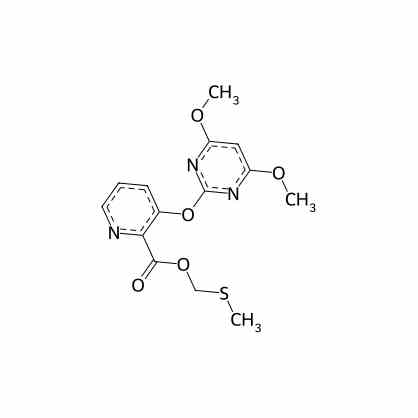 COc1cc(OC)nc(Oc2cccnc2C(=O)OCSC)n1